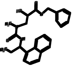 CN(CC(O)C(=O)OCc1ccccc1)C(=O)NC(CC(=O)O)c1cccc2ccccc12